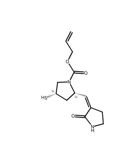 C=CCOC(=O)N1C[C@@H](S)C[C@H]1C=C1CCNC1=O